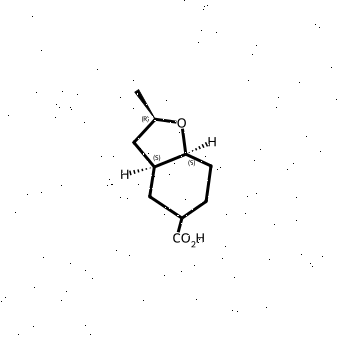 C[C@@H]1C[C@@H]2CC(C(=O)O)CC[C@@H]2O1